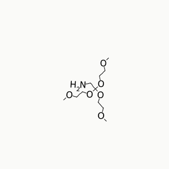 COCCOC(CN)(OCCOC)OCCOC